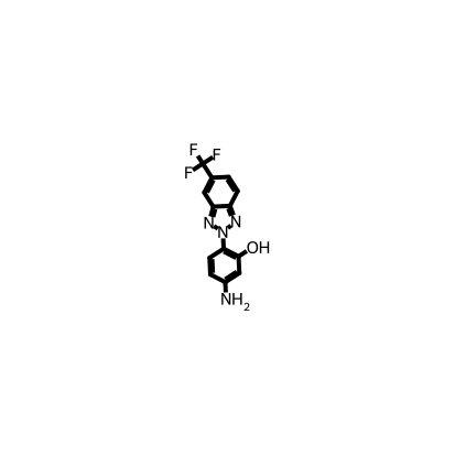 Nc1ccc(-n2nc3ccc(C(F)(F)F)cc3n2)c(O)c1